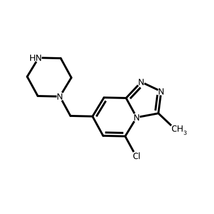 Cc1nnc2cc(CN3CCNCC3)cc(Cl)n12